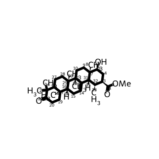 COC(=O)[C@@H]1C[C@H](O)[C@]2(C)CC[C@]3(C)C(=CC[C@@H]4[C@@]5(C)CCC(=O)C(C)(C)C5CC[C@]43C)[C@H]2[C@H]1C